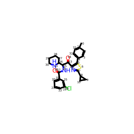 Cc1ccc(-c2sc(C3CC3)nc2C(=O)C(NC(=O)c2cccc(Cl)c2)C2CCCCN2)cc1